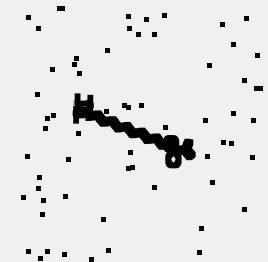 C=C(C)C(=O)OCCCCCCCCCCC[Si](I)(I)I